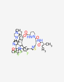 COC(C)c1ncc(N2CCN(C)CC2)cc1-c1c2c3cc(c(F)cc3n1CC(F)(F)F)-c1csc(n1)C[C@H](NC(=O)CC(C)C)C(=O)N1CCCC(N1)C(=O)OCC(C)(C)C2